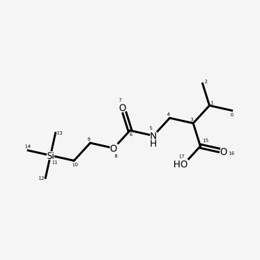 CC(C)C(CNC(=O)OCC[Si](C)(C)C)C(=O)O